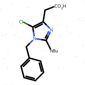 CCCCc1nc(CC(=O)O)c(Cl)n1Cc1ccccc1